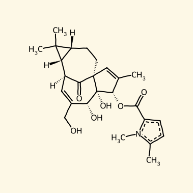 CC1=C[C@@]23CC[C@@H]4[C@H]([C@H](C=C(CO)[C@@H](O)[C@]2(O)[C@H]1OC(=O)c1ccc(C)n1C)C3=O)C4(C)C